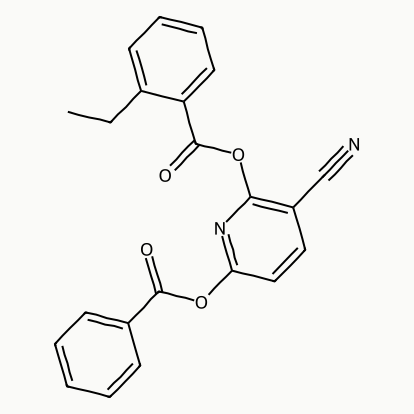 CCc1ccccc1C(=O)Oc1nc(OC(=O)c2ccccc2)ccc1C#N